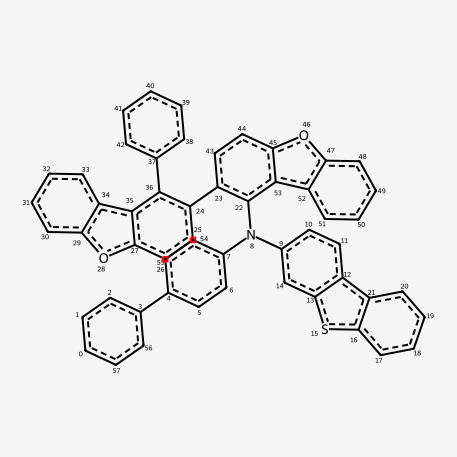 c1ccc(-c2ccc(N(c3ccc4c(c3)sc3ccccc34)c3c(-c4ccc5oc6ccccc6c5c4-c4ccccc4)ccc4oc5ccccc5c34)cc2)cc1